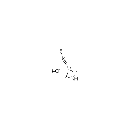 CC#CC1CNC1.Cl